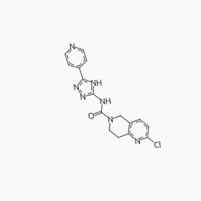 O=C(Nc1nnc(-c2ccncc2)[nH]1)N1CCc2nc(Cl)ccc2C1